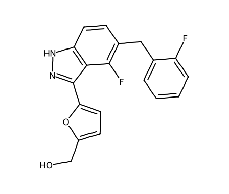 OCc1ccc(-c2n[nH]c3ccc(Cc4ccccc4F)c(F)c23)o1